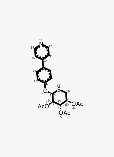 CC(=O)O[C@@H]1[C@@H](OC(C)=O)[C@@H](Oc2ccc(-c3ccncc3)cc2)SC[C@H]1OC(C)=O